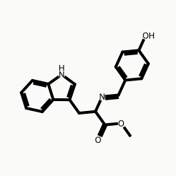 COC(=O)C(Cc1c[nH]c2ccccc12)N=Cc1ccc(O)cc1